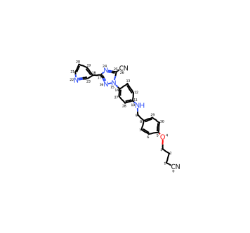 N#CCCCOc1ccc(CNc2ccc(-n3nc(-c4cccnc4)nc3C#N)cc2)cc1